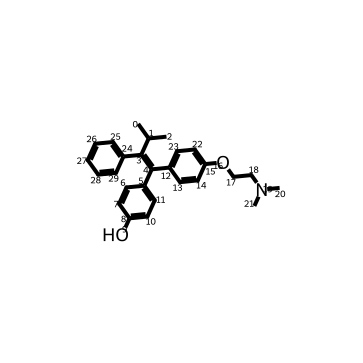 CC(C)C(=C(c1ccc(O)cc1)c1ccc(OCCN(C)C)cc1)c1ccccc1